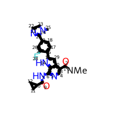 CNC(=O)c1cnc(NC(=O)C2CC2)c2[nH]c(-c3ccc(-c4nccn4C)cc3F)cc12